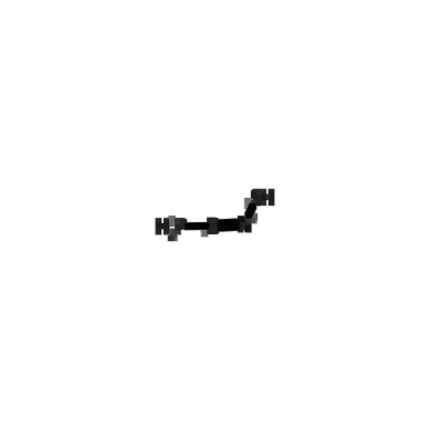 P/B=N/S